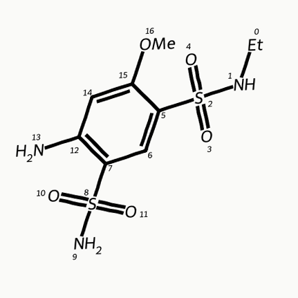 CCNS(=O)(=O)c1cc(S(N)(=O)=O)c(N)cc1OC